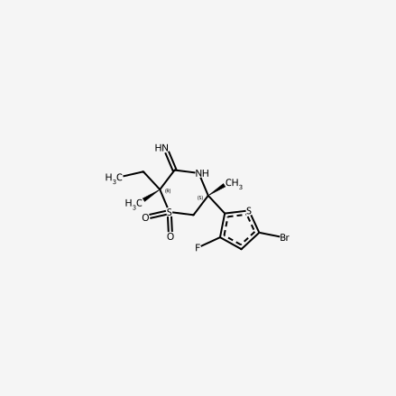 CC[C@]1(C)C(=N)N[C@](C)(c2sc(Br)cc2F)CS1(=O)=O